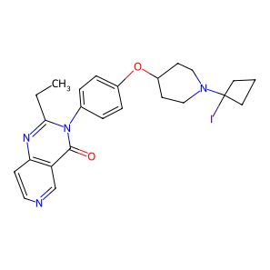 CCc1nc2ccncc2c(=O)n1-c1ccc(OC2CCN(C3(I)CCC3)CC2)cc1